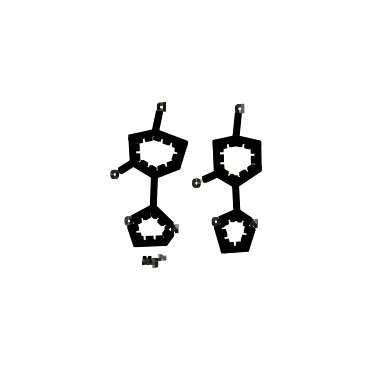 [Mg+2].[O-]c1cc(Cl)ccc1-c1ncco1.[O-]c1cc(Cl)ccc1-c1ncco1